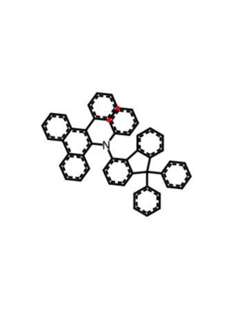 c1ccc(-c2c(N(c3ccccc3)c3cccc4c3-c3ccccc3C4(c3ccccc3)c3ccccc3)c3ccccc3c3ccccc23)cc1